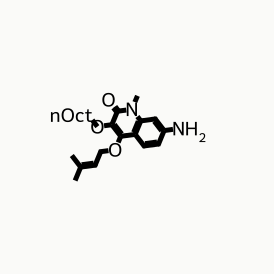 CCCCCCCCOc1c(OCC=C(C)C)c2ccc(N)cc2n(C)c1=O